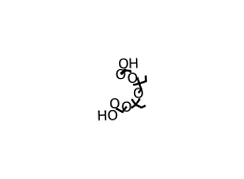 CCC(C)(COCC(=O)O)COCC(C)(CC)COCC(=O)O